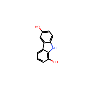 Oc1ccc2[nH]c3c(O)cccc3c2c1